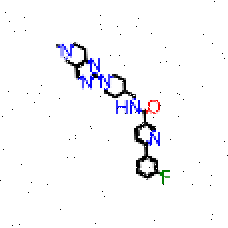 CN1CCc2nc(N3CCC(CNC(=O)c4ccc(-c5cccc(F)c5)nc4)CC3)ncc2C1